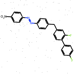 O=[N+]([O-])c1ccc(N=Nc2ccc(Cc3ccc(-c4ccc(F)cc4)c(F)c3)cc2)cc1